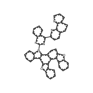 c1cnc2c(c1)ccc1ccc(-c3nc(-n4c5ccccc5c5c6oc7ccccc7c6c6c(ccc7oc8ccccc8c76)c54)nc4ccccc34)nc12